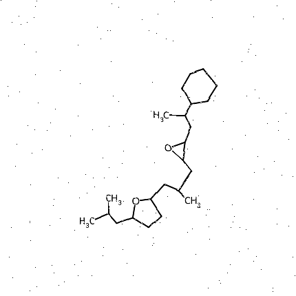 CC(C)CC1CCC(CC(C)CC2OC2CC(C)C2CCCCC2)O1